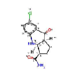 NC(=O)[C@@H]1CC[C@@H]2C(=O)c3cc(Cl)ccc3N[C@@H]21